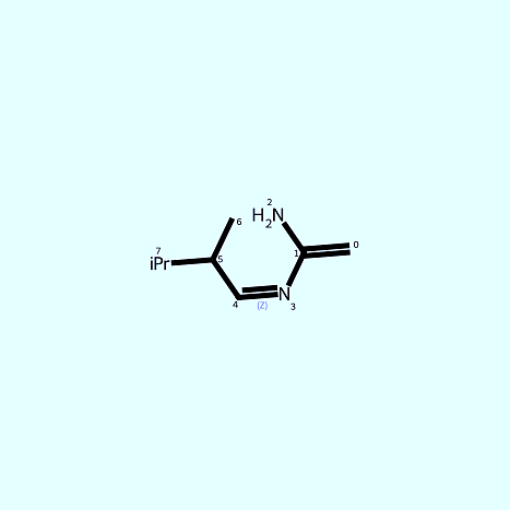 C=C(N)/N=C\C(C)C(C)C